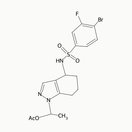 CC(=O)OC(C)n1ncc2c1CCCC2NS(=O)(=O)c1ccc(Br)c(F)c1